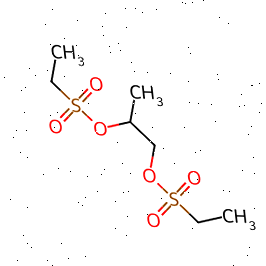 CCS(=O)(=O)OCC(C)OS(=O)(=O)CC